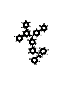 c1ccc(-c2ccc(N(c3ccc(-c4cccc(-n5c(-c6ccccc6)nc6ccccc65)c4)cc3)c3cc(-c4ccccc4)cc(-c4ccccc4)c3)cc2)cc1